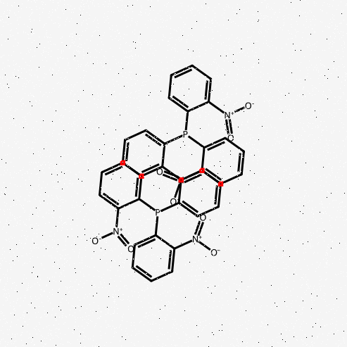 O=[N+]([O-])c1ccccc1P(c1ccccc1-c1ccccc1P(c1ccccc1[N+](=O)[O-])c1ccccc1[N+](=O)[O-])c1ccccc1[N+](=O)[O-]